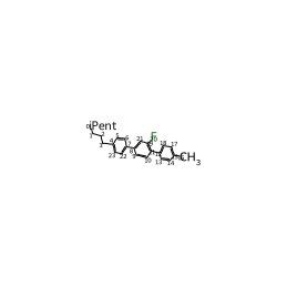 CCCC(C)CCCc1ccc(-c2ccc(-c3ccc(C)cc3)c(F)c2)cc1